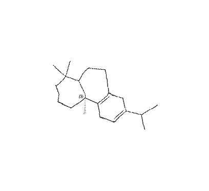 CC(C)C1=CCC2=C(CCC3C(C)(C)CCC[C@]23C)C1